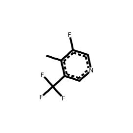 Cc1c(F)cncc1C(F)(F)F